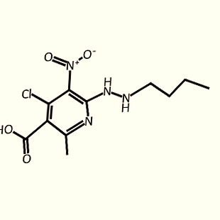 CCCCNNc1nc(C)c(C(=O)O)c(Cl)c1[N+](=O)[O-]